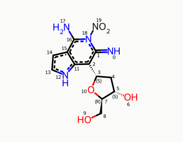 N=c1c([C@@H]2C[C@H](O)[C@@H](CO)O2)c2[nH]ccc2c(N)n1[N+](=O)[O-]